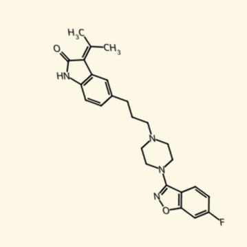 CC(C)=C1C(=O)Nc2ccc(CCCN3CCN(c4noc5cc(F)ccc45)CC3)cc21